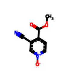 COC(=O)c1cc[n+]([O-])cc1C#N